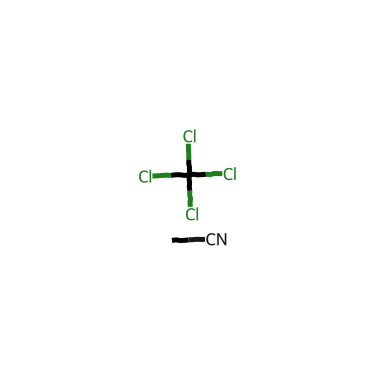 CC#N.ClC(Cl)(Cl)Cl